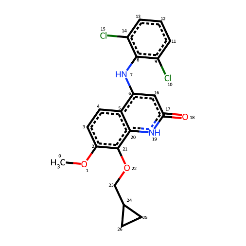 COc1ccc2c(Nc3c(Cl)cccc3Cl)cc(=O)[nH]c2c1OCC1CC1